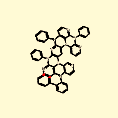 c1ccc(-c2ccccc2N2c3ccncc3B3c4cc5c(nc4N(c4ccccc4)c4nccc2c43)N(c2ccccc2)c2ccnc3c2B5c2cccnc2N3c2ccccc2)cc1